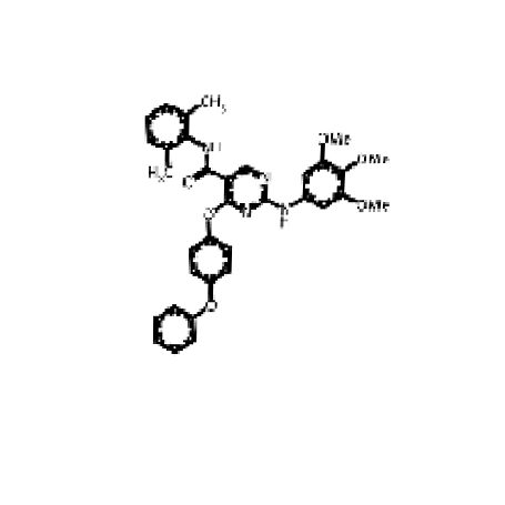 COc1cc(Nc2ncc(C(=O)Nc3c(C)cccc3C)c(Oc3ccc(Oc4ccccc4)cc3)n2)cc(OC)c1OC